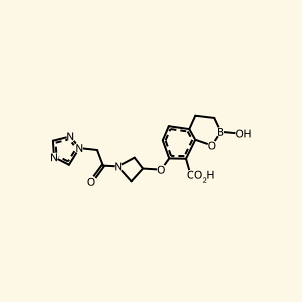 O=C(O)c1c(OC2CN(C(=O)Cn3cncn3)C2)ccc2c1OB(O)CC2